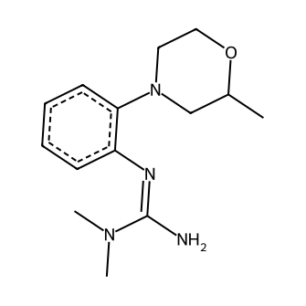 CC1CN(c2ccccc2N=C(N)N(C)C)CCO1